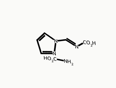 NC(=O)O.O=C(O)N=Cn1cccn1